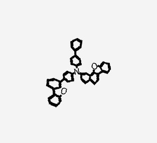 c1ccc(-c2ccc(N(c3ccc(-c4cccc5c4oc4ccccc45)cc3)c3ccc4ccc5c6ccccc6oc5c4c3)cc2)cc1